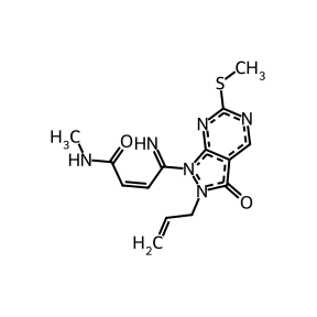 C=CCn1c(=O)c2cnc(SC)nc2n1C(=N)/C=C\C(=O)NC